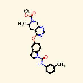 Cc1cccc(NC(=O)n2ccc3cc(Oc4ncnc5c4CC(C)N(C(=O)OC(C)(C)C)C5)ccc32)c1